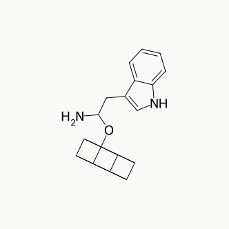 NC(Cc1c[nH]c2ccccc12)OC12C3C4C5C3C1C5C42